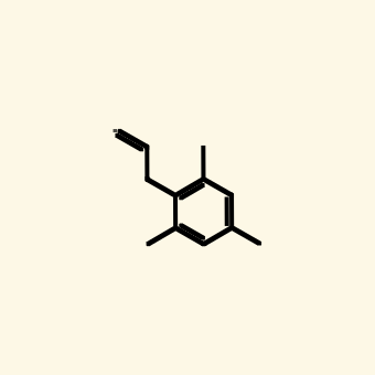 [CH]=CCc1c(C)cc(C)cc1C